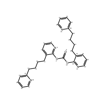 O=C(Oc1ncccc1CCCCc1ccccn1)Oc1ncccc1CCCCc1ccccn1